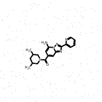 CC1CC(C)CN(C(=O)c2cc(N)n3nc(-c4ccccn4)nc3c2)C1